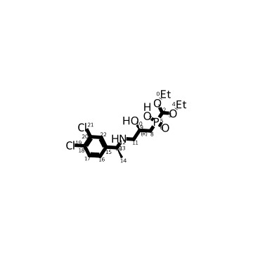 CCOC(OCC)P(=O)(O)C[C@H](O)CN[C@@H](C)c1ccc(Cl)c(Cl)c1